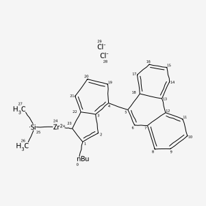 CCCCC1=Cc2c(-c3cc4ccccc4c4ccccc34)cccc2[CH]1[Zr+2][Si](C)C.[Cl-].[Cl-]